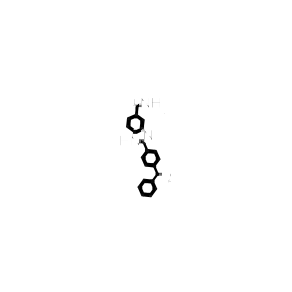 COC(c1ccccc1)c1ccc(-c2nc3cc(C(N)=O)ccc3[nH]2)cc1